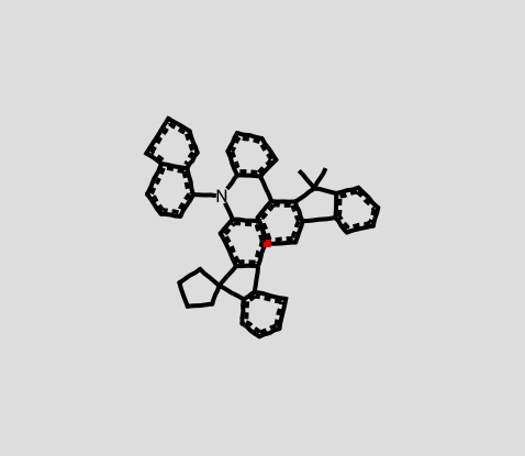 CC1(C)c2ccccc2-c2cccc(-c3ccccc3N(c3ccc4c(c3)C3(CCCC3)c3ccccc3-4)c3cccc4ccccc34)c21